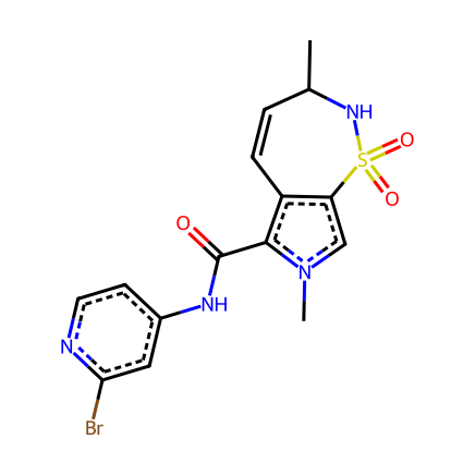 CC1C=Cc2c(cn(C)c2C(=O)Nc2ccnc(Br)c2)S(=O)(=O)N1